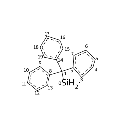 [SiH2]C(c1ccccc1)(c1ccccc1)c1ccccc1